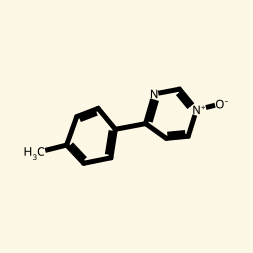 Cc1ccc(-c2cc[n+]([O-])cn2)cc1